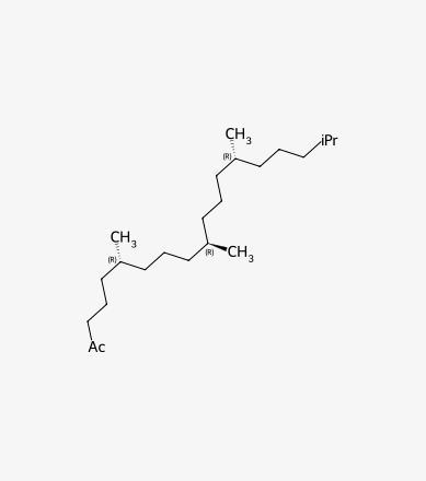 CC(=O)CCC[C@H](C)CCC[C@H](C)CCC[C@H](C)CCCC(C)C